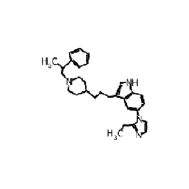 CCc1nccn1-c1ccc2[nH]cc(CCCC3CCN(CC(C)c4ccccc4)CC3)c2c1